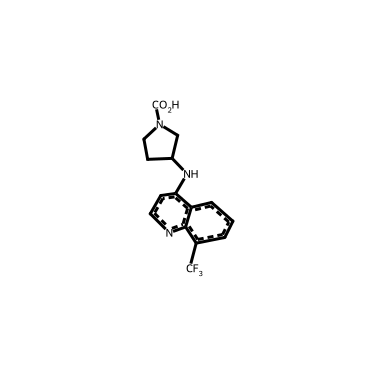 O=C(O)N1CCC(Nc2ccnc3c(C(F)(F)F)cccc23)C1